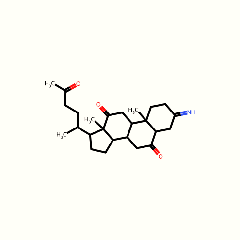 CC(=O)CCC(C)C1CCC2C3CC(=O)C4CC(=N)CCC4(C)C3CC(=O)C12C